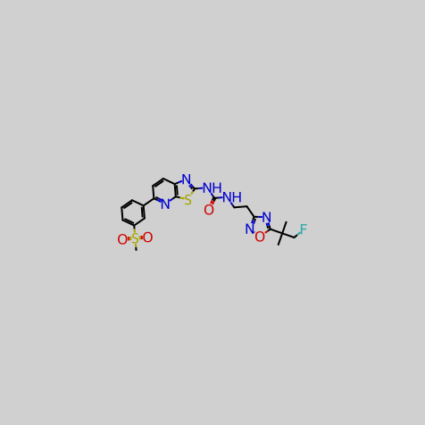 CC(C)(CF)c1nc(CCNC(=O)Nc2nc3ccc(-c4cccc(S(C)(=O)=O)c4)nc3s2)no1